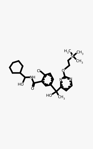 CC(O)(c1ccc(Cl)c(C(=O)NC(O)C2CCCCC2)c1)c1ccnc(OCC[Si](C)(C)C)n1